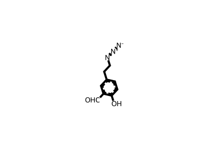 [N-]=[N+]=NCCc1ccc(O)c(C=O)c1